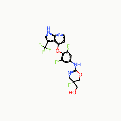 OC[C@@]1(F)CN=C(Nc2cc(F)c(Oc3ccnc4[nH]cc(C(F)(F)F)c34)c(F)c2)OC1